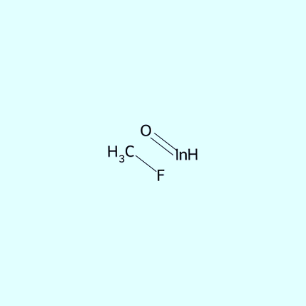 CF.[O]=[InH]